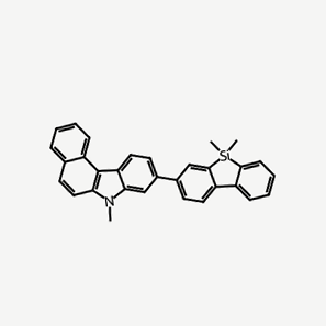 Cn1c2cc(-c3ccc4c(c3)[Si](C)(C)c3ccccc3-4)ccc2c2c3ccccc3ccc21